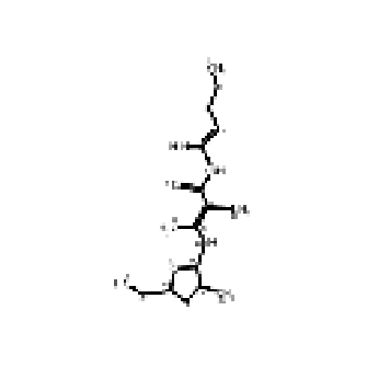 CCC/C=C(\N)NC(=O)/C(N)=C(\C)NC1OC(CO)CC1C